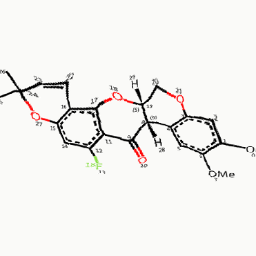 COc1cc2c(cc1OC)[C@@H]1C(=O)c3c([18F])cc4c(c3O[C@@H]1CO2)C=CC(C)(C)O4